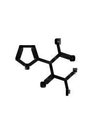 O=C(Cl)C(C(=O)C(F)F)c1cccs1